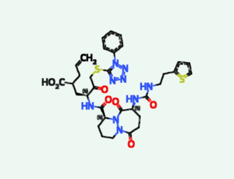 C=CCC(C[C@H](NC(=O)[C@@H]1CCCN2C(=O)CC[C@H](NC(=O)NCCc3cccs3)C(=O)N12)C(=O)CSc1nnnn1-c1ccccc1)C(=O)O